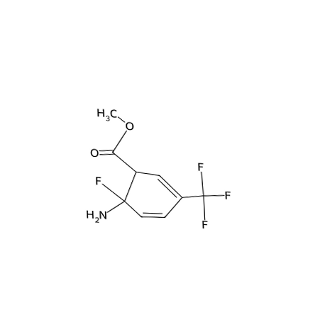 COC(=O)C1C=C(C(F)(F)F)C=CC1(N)F